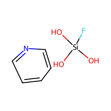 O[Si](O)(O)F.c1ccncc1